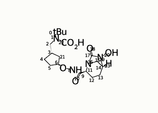 CC(C)(C)N(C[C@H]1CC[C@H](ONC(=O)[C@@H]2CC[C@@H]3CN2C(=O)N3O)C1)C(=O)O